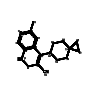 Cc1cc2c(cn1)NCC(C#N)=C2N1CCC2(CC1)CC2